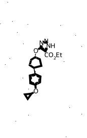 CCOC(=O)c1[nH]nnc1O[C@H]1CC[C@H](c2ccc(OC3CC3)cc2)CC1